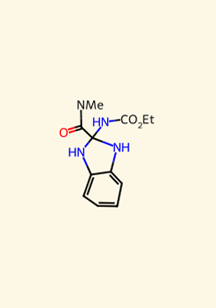 CCOC(=O)NC1(C(=O)NC)Nc2ccccc2N1